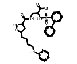 O=C(O)C(CNC(=O)C1CC(CCCCNc2ccccn2)ON1)NS(=O)(=O)c1ccccc1-c1ccccc1